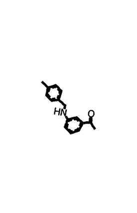 CC(=O)c1cccc(NCc2ccc(C)cc2)c1